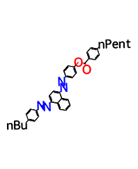 CCCCCc1ccc(C(=O)Oc2ccc(N=Nc3ccc(N=Nc4ccc(CCCC)cc4)c4ccccc34)cc2)cc1